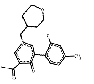 Cc1ccc(-c2cn(CC3CCOCC3)cc(C(=O)O)c2=O)c(F)c1